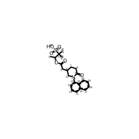 CC(OC(=O)CC1CCC(=O)N(c2cccc3ccccc23)C1)C(F)(F)S(=O)(=O)O